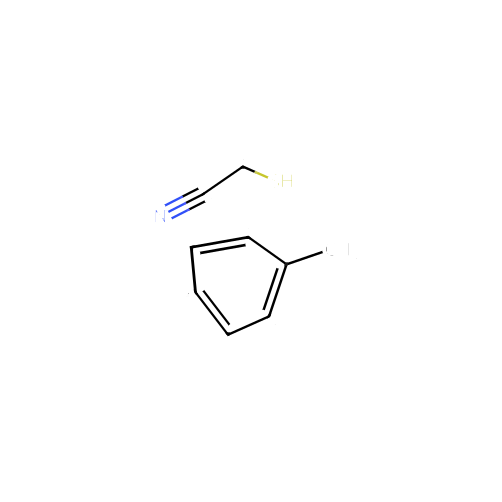 Cc1ccccc1.N#CCS